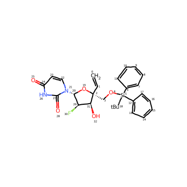 C=C[C@]1(CO[Si](c2ccccc2)(c2ccccc2)C(C)(C)C)O[C@@H](n2ccc(=O)[nH]c2=O)[C@H](F)[C@@H]1O